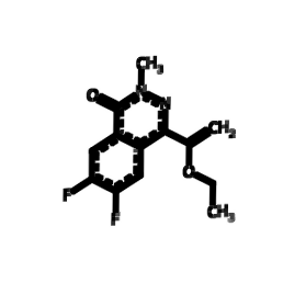 C=C(OCC)c1nn(C)c(=O)c2cc(F)c(F)cc12